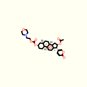 CC(=O)O[C@H]1C[C@]2(O)[C@@H]3CC[C@@H]4C[C@@H](OC(=O)OCCN5CCOCC5)CC[C@]4(C)[C@H]3CC[C@]2(C)[C@H]1c1ccc(=O)oc1